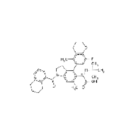 Cc1cc2c(c(-c3cc(F)c4c(c3C)CCCO4)c1[C@H](OC(C)(C)C)C(=O)O)CCN2C(=O)c1cccc2c1CCCC2